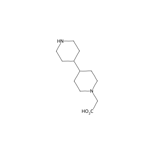 O=C(O)CN1CCC(C2CCNCC2)CC1